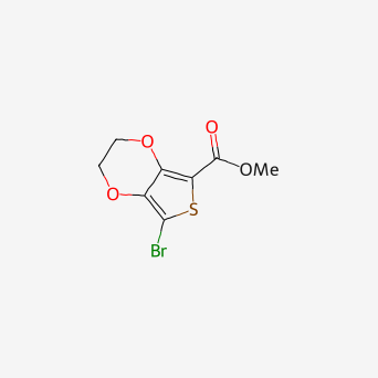 COC(=O)c1sc(Br)c2c1OCCO2